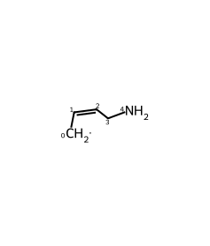 [CH2]/C=C\CN